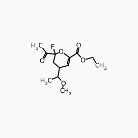 CCOC(=O)C1=CC(C(C)OC)CC(F)(C(C)=O)O1